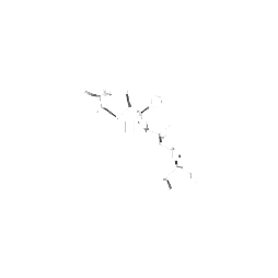 C=C/C(Cl)=N\C=C(/C)NC(=O)C(=C)/C=C\C(Cl)=C/C